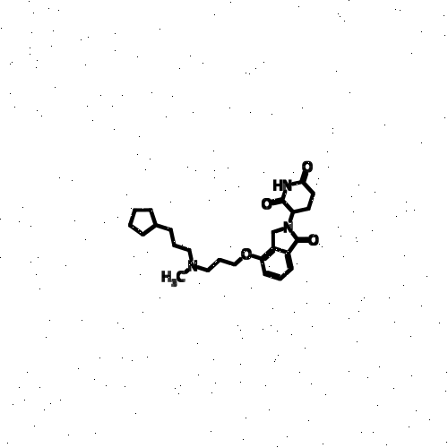 CN(CCCOc1cccc2c1CN(C1CCC(=O)NC1=O)C2=O)CCCC1CCCC1